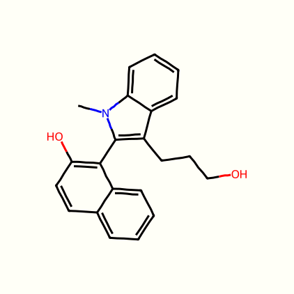 Cn1c(-c2c(O)ccc3ccccc23)c(CCCO)c2ccccc21